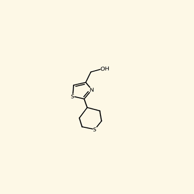 OCc1csc(C2CCSCC2)n1